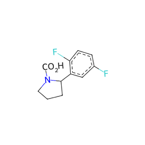 O=C(O)N1CCCC1c1cc(F)ccc1F